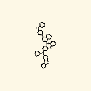 c1ccc(N(c2ccc3c(c2)Sc2ccccc2N3c2ccc(-c3ccc4oc5ccccc5c4c3)c3ccccc23)c2ccc3oc4ccccc4c3c2)cc1